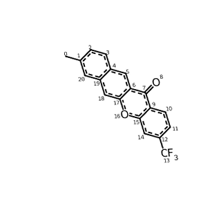 Cc1ccc2cc3c(=O)c4ccc(C(F)(F)F)cc4oc3cc2c1